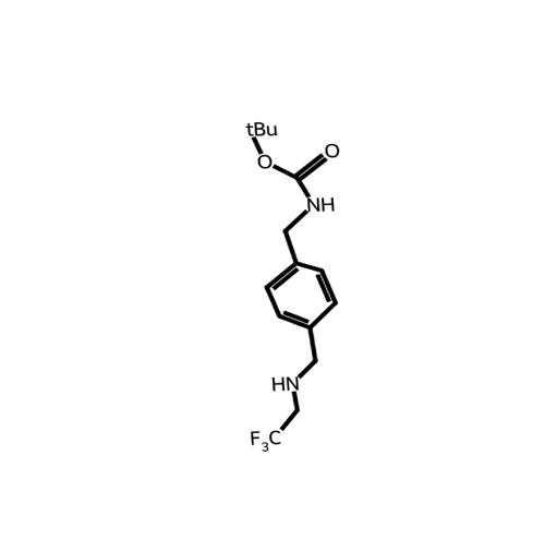 CC(C)(C)OC(=O)NCc1ccc(CNCC(F)(F)F)cc1